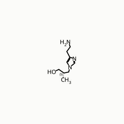 C[C@H](CO)Cn1cnc(CCN)c1